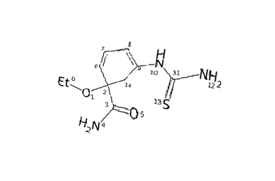 CCOC1(C(N)=O)C=CC=C(NC(N)=S)C1